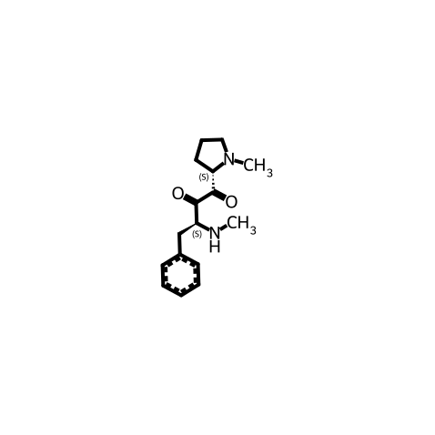 CN[C@@H](Cc1ccccc1)C(=O)C(=O)[C@@H]1CCCN1C